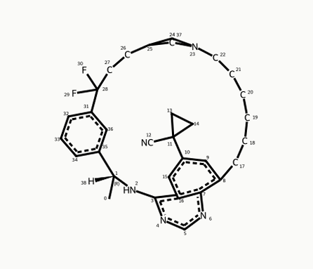 C[C@H]1Nc2ncnc3c(cc(C4(C#N)CC4)cc23)CCCCCCN2CC(CCC(F)(F)c3cccc1c3)C2